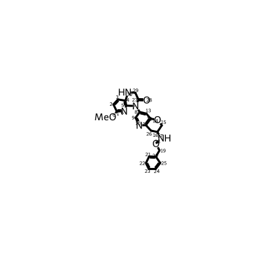 COc1ccc2c(n1)N(c1cnc3c(c1)OCC(NOCc1ccccc1)C3)C(=O)CN2